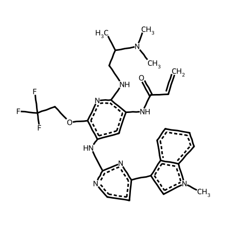 C=CC(=O)Nc1cc(Nc2nccc(-c3cn(C)c4ccccc34)n2)c(OCC(F)(F)F)nc1NCC(C)N(C)C